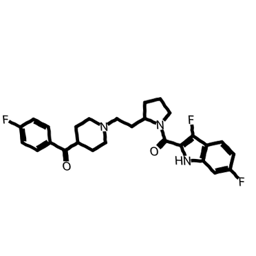 O=C(c1ccc(F)cc1)C1CCN(CCC2CCCN2C(=O)c2[nH]c3cc(F)ccc3c2F)CC1